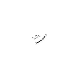 O.O.[Cl][Pt][Cl]